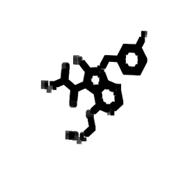 CCc1c(C(=O)C(N)=O)c2c(OCC(=O)O)ncnc2n1Cc1cccc(F)c1